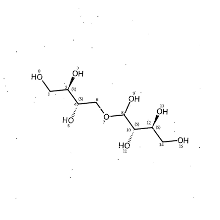 OC[C@@H](O)[C@@H](O)COC(O)[C@@H](O)[C@@H](O)CO